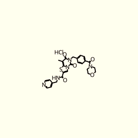 Cc1c(=O)n(Cc2ccc(C(=O)N3CCOCC3)cc2)c(=O)n2cc(C(=O)NCc3ccncc3)sc12.Cl